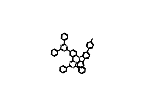 Cc1ccc(-c2ccc3c4ccccc4n(-c4ccc(-c5nc(-c6ccccc6)nc(-c6ccccc6)n5)cc4-c4nc(-c5ccccc5)nc(-c5ccccc5)n4)c3c2)cc1